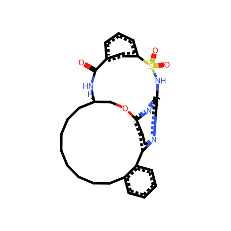 O=C1N[C@@H]2CCCCCCCCc3ccccc3-c3cc(nc(n3)NS(=O)(=O)c3cccc1c3)OC2